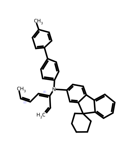 C=C/C(=C\C=C/C)N(c1ccc(-c2ccc(C)cc2)cc1)c1ccc2c(c1)C1(CCCCC1)c1ccccc1-2